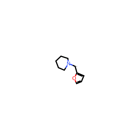 [CH](c1ccco1)N1CCCCC1